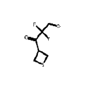 [O]CC(F)(F)C(=O)C1CSC1